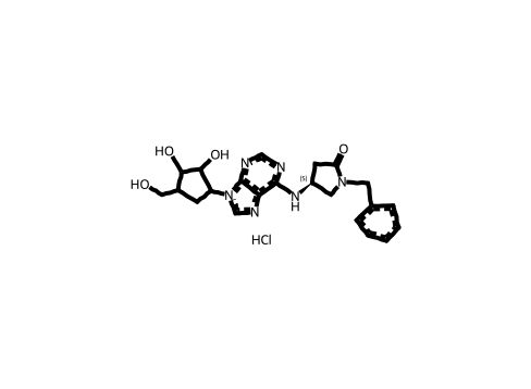 Cl.O=C1C[C@H](Nc2ncnc3c2ncn3C2CC(CO)C(O)C2O)CN1Cc1ccccc1